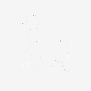 COc1ccc(C2CC(=O)N(CC(=O)Nc3c(C)cccc3C)C2)cc1OC1CCCO1